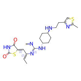 C=N\C(=N/C(=C\C)/C=C1\SC(=O)NC1=O)N[C@H]1CC[C@H](NCCc2csc(C)n2)CC1